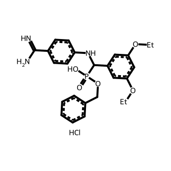 CCOc1cc(OCC)cc(C(Nc2ccc(C(=N)N)cc2)P(=O)(O)OCc2ccccc2)c1.Cl